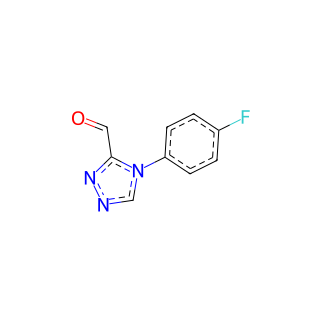 O=Cc1nncn1-c1ccc(F)cc1